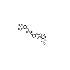 Cc1ccc(CC(=O)NCc2cccc(OC3=CC(=O)N(C4CCC(=O)NC4=O)C3=O)c2)cc1C